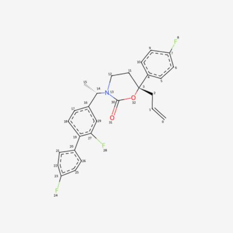 C=CC[C@]1(c2ccc(F)cc2)CCN([C@@H](C)c2ccc(-c3ccc(F)cc3)c(F)c2)C(=O)O1